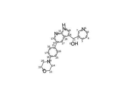 OC(c1cccnc1)c1c[nH]c2ncc(-c3ccc(N4CCOCC4)cc3)cc12